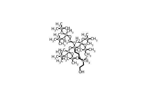 CN(CCO)CCC[Si](O[SiH2]O[Si](C)(O[Si](C)(C)C)O[Si](C)(C)C)(O[Si](C)(O[Si](C)(C)C)O[Si](C)(C)C)O[Si](C)(O[Si](C)(C)C)O[Si](C)(C)C